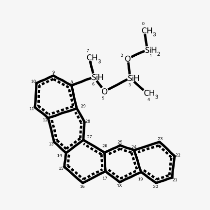 C[SiH2]O[SiH](C)O[SiH](C)c1cccc2cc3ccc4cc5ccccc5cc4c3cc12